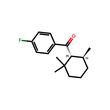 C[C@H]1CCCC(C)(C)[C@@H]1C(=O)c1ccc(F)cc1